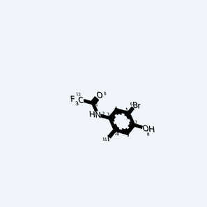 O=C(Nc1cc(Br)c(O)cc1I)C(F)(F)F